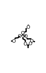 COCCO[Si](CCOC(C)=O)(OCCOC)OCCOC